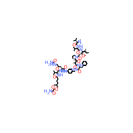 CC[C@H](C)[C@@H]([C@@H](CC(=O)N1CCC[C@H]1[C@H](OC)[C@@H](C)C(=O)N[C@@H](Cc1ccccc1)C(=O)NCc1ccc(NC(=O)[C@H](CCCNC(N)=O)NC(=O)[C@@H](NC(=O)CCCC2COC(C(N)=O)OC2)C(C)C)cc1)OC)N(C)C(=O)[C@@H](NC(=O)[C@H](C(C)C)N(C)C)C(C)C